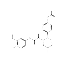 CCc1cc(NC(=O)C(=O)N2C[C@@H](C)CC[C@@H]2c2ccc(NC(C)=O)nc2)cnc1N